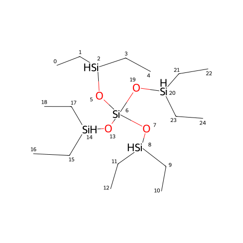 CC[SiH](CC)O[Si](O[SiH](CC)CC)(O[SiH](CC)CC)O[SiH](CC)CC